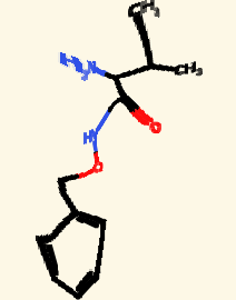 CC(C)C(N)C(=O)NOCc1ccccc1